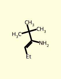 CCC=C(N)C(C)(C)C